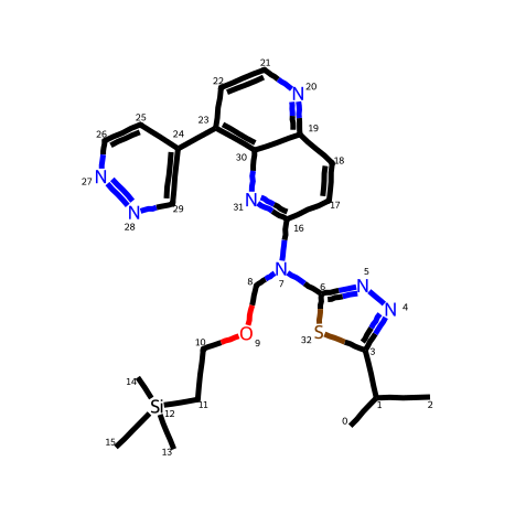 CC(C)c1nnc(N(COCC[Si](C)(C)C)c2ccc3nccc(-c4ccnnc4)c3n2)s1